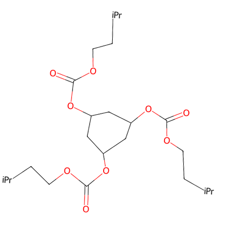 CC(C)CCOC(=O)OC1CC(OC(=O)OCCC(C)C)CC(OC(=O)OCCC(C)C)C1